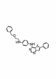 c1ccc(COCCNc2ccc(Nc3ncnc4cc(-c5ccccc5)sc34)cc2)cc1